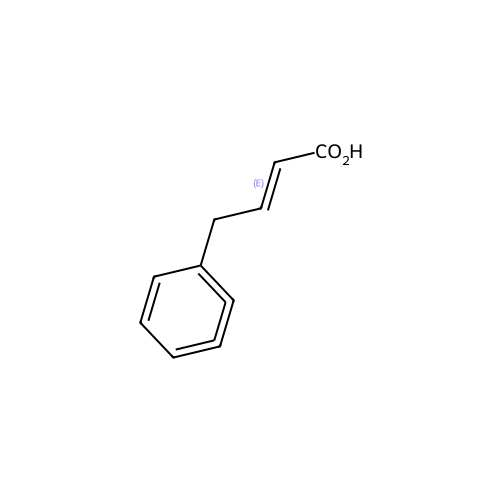 O=C(O)/C=C/CC1=C=C=CC=C1